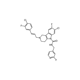 O=C(NCc1ccnc(F)c1)n1c2c(c3cc(F)c(Cl)cc31)CN(CC=Cc1ccc(Cl)c(F)c1)CC2